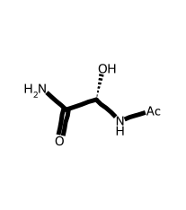 CC(=O)N[C@@H](O)C(N)=O